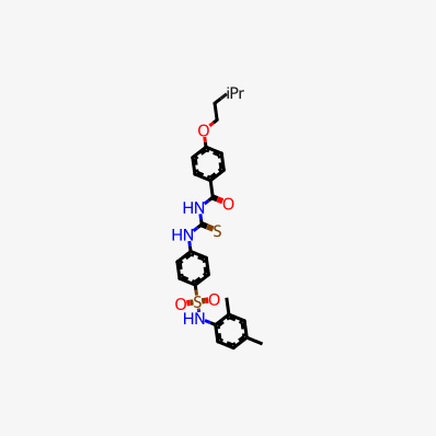 Cc1ccc(NS(=O)(=O)c2ccc(NC(=S)NC(=O)c3ccc(OCCC(C)C)cc3)cc2)c(C)c1